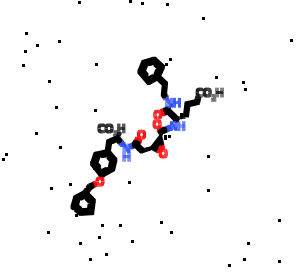 O=C(O)CCC[C@H](NC(=O)[C@@H]1O[C@H]1CC(=O)N[C@@H](Cc1ccc(OCc2ccccc2)cc1)C(=O)O)C(=O)NCCc1ccccc1